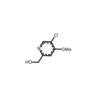 COc1cc(CO)ncc1Cl